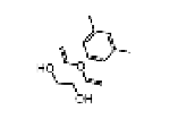 C=COC=C.Cc1cccc(C)c1.OCCO